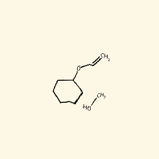 C=COC1CCCCC1.CO